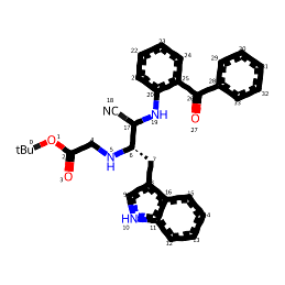 CC(C)(C)OC(=O)CN[C@@H](Cc1c[nH]c2ccccc12)C(C#N)Nc1ccccc1C(=O)c1ccccc1